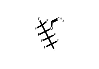 C=COC(F)(C(F)(F)F)C(F)(F)C(F)(F)F